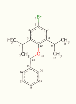 CC(C)c1cc(Br)cc(C(C)C)c1OCc1ccccc1